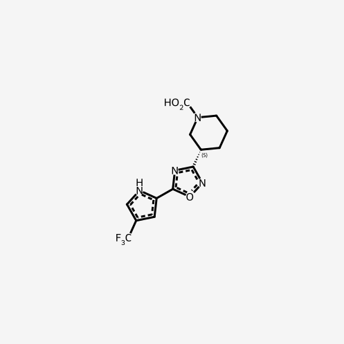 O=C(O)N1CCC[C@H](c2noc(-c3cc(C(F)(F)F)c[nH]3)n2)C1